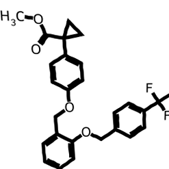 COC(=O)C1(c2ccc(OCc3ccccc3OCc3ccc(C(F)(F)F)cc3)cc2)CC1